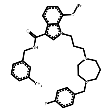 Cc1cccc(CNC(=O)c2cn(CCCN3CCCN(Cc4ccc(F)cc4)CC3)c3c(OC(C)C)cccc23)c1